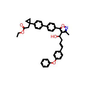 CCOC(=O)CC1(c2ccc(-c3ccc(-c4onc(C)c4C(O)CC=Cc4ccc(Oc5ccccc5)cc4)cc3)cc2)CC1